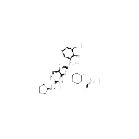 NC(=O)[C@H]1CC[C@@H](n2c(Nc3cccc(Cl)c3F)nc3cnc(NC4CCCC4)nc32)CC1